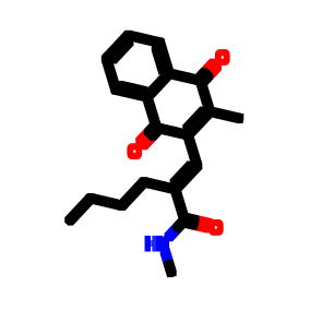 CCCC/C(=C\C1=C(C)C(=O)c2ccccc2C1=O)C(=O)NC